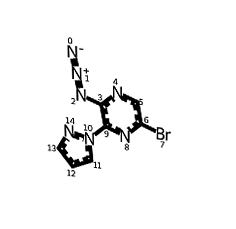 [N-]=[N+]=Nc1ncc(Br)nc1-n1cccn1